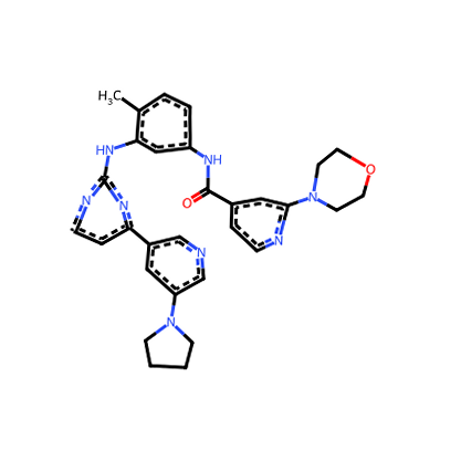 Cc1ccc(NC(=O)c2ccnc(N3CCOCC3)c2)cc1Nc1nccc(-c2cncc(N3CCCC3)c2)n1